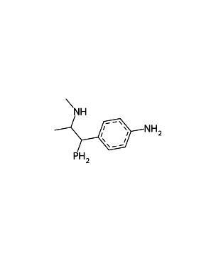 CNC(C)C(P)c1ccc(N)cc1